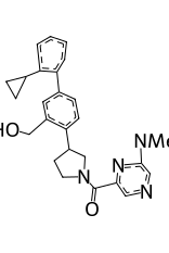 CNc1cncc(C(=O)N2CCC(c3ccc(-c4ccccc4C4CC4)cc3CO)C2)n1